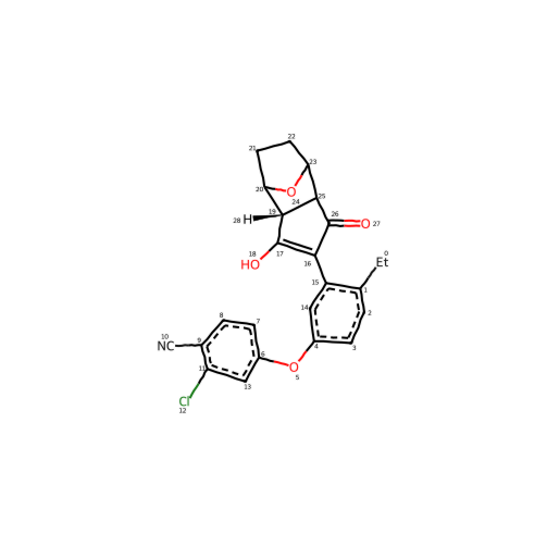 CCc1ccc(Oc2ccc(C#N)c(Cl)c2)cc1C1=C(O)[C@@H]2C3CCC(O3)C2C1=O